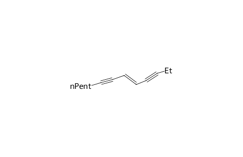 CCC#CC=CC#CCCCCC